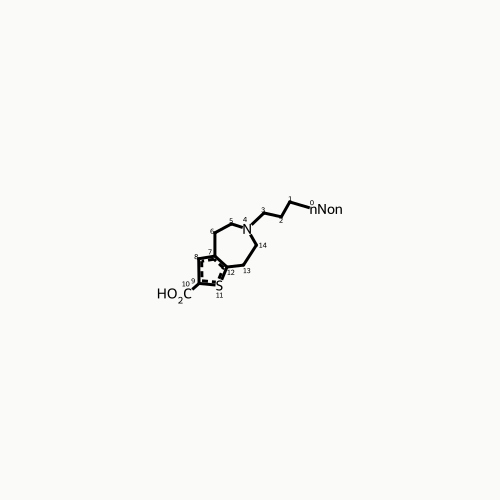 CCCCCCCCCCCCN1CCc2cc(C(=O)O)sc2CC1